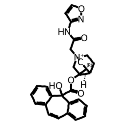 O=C(C[N+]12CCC(CC1)[C@@H](OC(=O)C1(O)c3ccccc3C=Cc3ccccc31)C2)Nc1ccon1